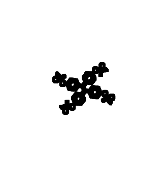 CC1(Oc2ccc(C(c3ccc(OC4(C)CO4)cc3)C(c3ccc(OC4(C)CO4)cc3)c3ccc(OC4(C)CO4)cc3)cc2)CO1